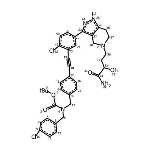 CC(C)(C)OC(=O)N(Cc1ccc(Cl)cc1)Cc1ccc(C#Cc2cc(-c3n[nH]c4c3CN(CCC(O)C(N)=O)CC4)ccc2Cl)cc1